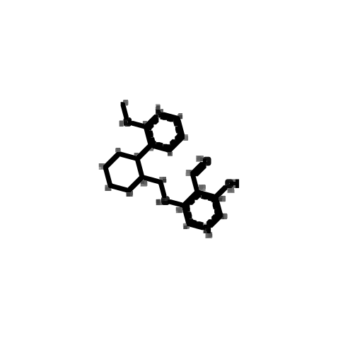 COc1ncccc1C1CCCCC1COc1cncc(O)c1C=O